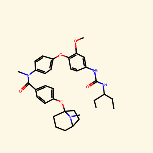 CCC(CC)NC(=O)Nc1ccc(Oc2ccc(N(C)C(=O)c3ccc(OC45CCCC(CC4)N5C)cc3)cc2)c(OC)c1